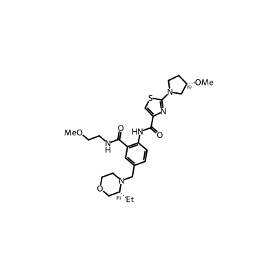 CC[C@@H]1COCCN1Cc1ccc(NC(=O)c2csc(N3CC[C@H](OC)C3)n2)c(C(=O)NCCOC)c1